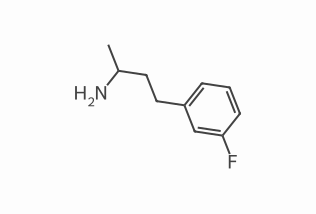 CC(N)CCc1cccc(F)c1